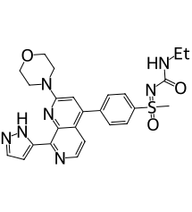 CCNC(=O)N=S(C)(=O)c1ccc(-c2cc(N3CCOCC3)nc3c(-c4ccn[nH]4)nccc23)cc1